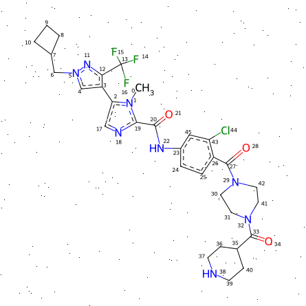 Cn1c(-c2cn(CC3CCC3)nc2C(F)(F)F)cnc1C(=O)Nc1ccc(C(=O)N2CCN(C(=O)C3CCNCC3)CC2)c(Cl)c1